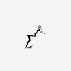 CCCCCCCCCCCC=C(C)C